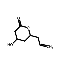 C=CCC1CC(O)CC(=O)O1